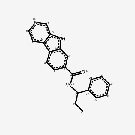 CCC(NC(=O)c1ccc2c(c1)[nH]c1cnccc12)c1ccccc1